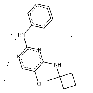 CC1(Nc2nc(Nc3ccccc3)ncc2Cl)CCC1